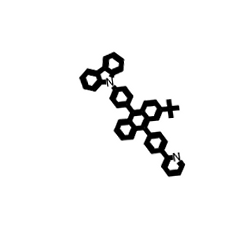 CC(C)(C)c1ccc2c(-c3ccc(-n4c5ccccc5c5ccccc54)cc3)c3ccccc3c(-c3ccc(-c4ccccn4)cc3)c2c1